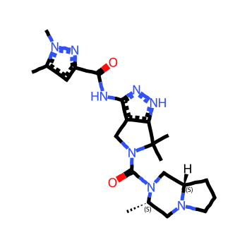 Cc1cc(C(=O)Nc2n[nH]c3c2CN(C(=O)N2C[C@@H]4CCCN4C[C@@H]2C)C3(C)C)nn1C